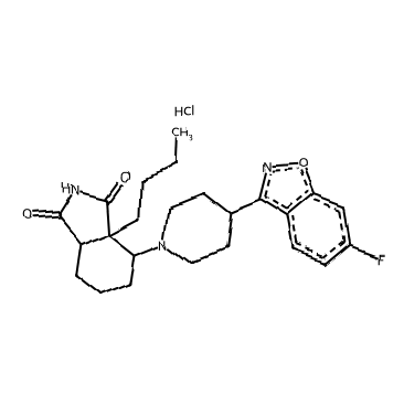 CCCCC12C(=O)NC(=O)C1CCCC2N1CCC(c2noc3cc(F)ccc23)CC1.Cl